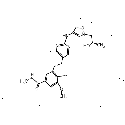 CNC(=O)c1cc(CCc2cnc(Nc3cnn(C[C@@H](C)O)c3)nc2)c(F)c(OC)c1